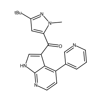 Cn1nc(C(C)(C)C)cc1C(=O)c1c[nH]c2nccc(-c3cccnc3)c12